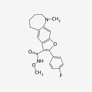 CONC(=O)c1c(-c2ccc(F)cc2)oc2cc3c(cc12)CCCCN3C